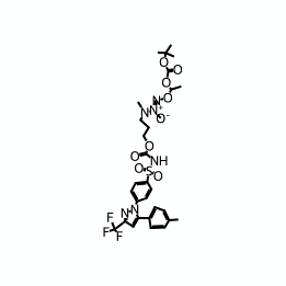 Cc1ccc(-c2cc(C(F)(F)F)nn2-c2ccc(S(=O)(=O)NC(=O)OCCCN(C)[N+]([O-])=NOC(C)OC(=O)OC(C)(C)C)cc2)cc1